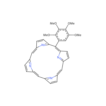 COc1cc(C2=C3C=CC(=N3)C=C3C=CC(=N3)C=C3C=CC(=N3)C=C3C=CC2=N3)c(OC)c(OC)c1OC